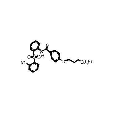 CCOC(=O)CCCOc1ccc(C(=O)Nc2ccccc2S(=O)(=O)c2ccccc2C#N)cc1